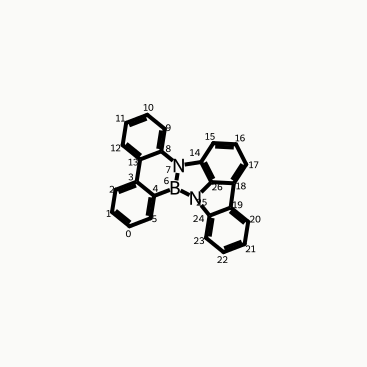 c1ccc2c(c1)B1N(c3ccccc3-2)c2cccc3c4ccccc4n1c23